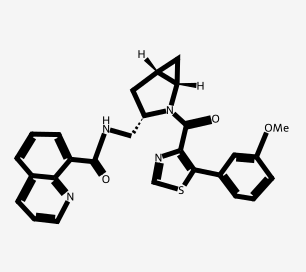 COc1cccc(-c2scnc2C(=O)N2[C@H](CNC(=O)c3cccc4cccnc34)C[C@@H]3C[C@@H]32)c1